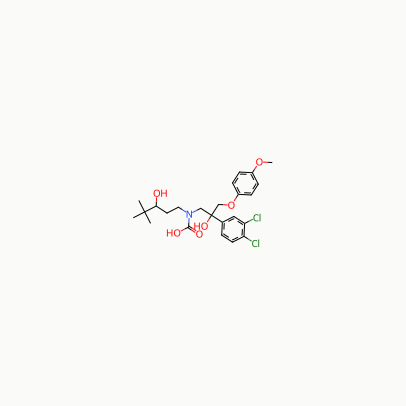 COc1ccc(OCC(O)(CN(CCC(O)C(C)(C)C)C(=O)O)c2ccc(Cl)c(Cl)c2)cc1